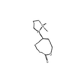 C[Si]1(C)CCCN1C1CCCC(=O)OCC1